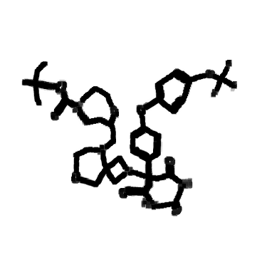 CC(C)(C)OC(=O)N1CCOC(CN2CCOCC23CN(C2(c4ccc(Oc5ccc(OC(F)(F)F)cc5)cc4)C(=O)NC(=O)NC2=O)C3)C1